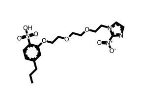 CCCc1ccc(S(=O)(=O)O)c(OCCOCCOCCn2ccnc2[N+](=O)[O-])c1